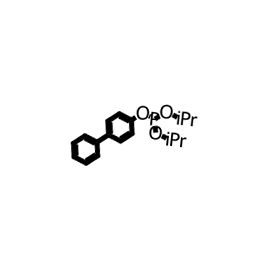 CC(C)OP(Oc1ccc(-c2ccccc2)cc1)OC(C)C